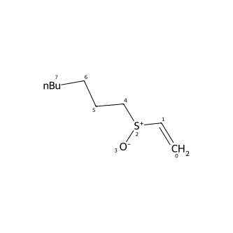 C=C[S+]([O-])CCCCCCC